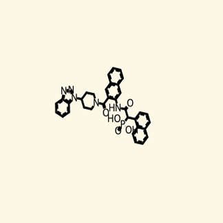 O=C(Nc1cc2ccccc2cc1C(=O)N1CCC(n2nnc3ccccc32)CC1)C(c1cccc2ccccc12)P(=O)(O)O